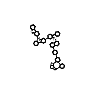 c1ccc2c(c1)-c1ccc(-c3ccc(-c4cccc5c(-n6c7ccccc7c7ccc(-c8ccc9c%10ccccc%10n(-c%10ccc%11c(c%10)sc%10ccccc%10%11)c9c8)cc76)cccc45)cc3)cc1C1CC3CC4CC2CC431